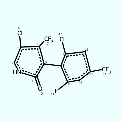 O=c1[nH]cc(Cl)c(C(F)(F)F)c1-c1c(F)cc(C(F)(F)F)cc1Cl